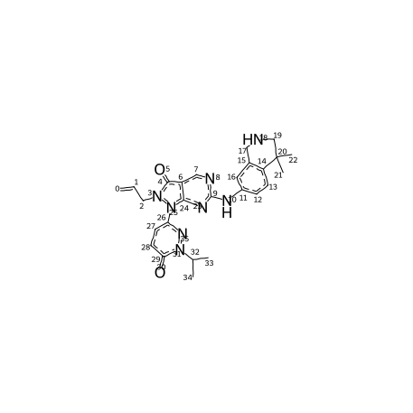 C=CCn1c(=O)c2cnc(Nc3ccc4c(c3)CNCC4(C)C)nc2n1-c1ccc(=O)n(C(C)C)n1